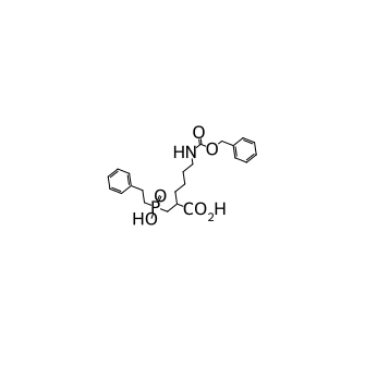 O=C(NCCCCC(CP(=O)(O)CCc1ccccc1)C(=O)O)OCc1ccccc1